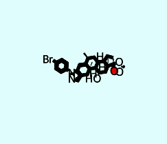 C[C@H]1C[C@@H]2[C@H]([C@@H](O)C[C@@]3(C)[C@H]2CC[C@@]32OCOC23COCO3)[C@@]2(C)Cc3cnn(-c4ccc(Br)cc4)c3C=C12